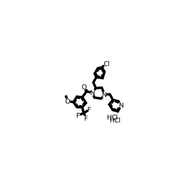 COc1cc(C(=O)N2CCN(Cc3cccnc3)CC2Cc2ccc(Cl)cc2)cc(C(F)(F)F)c1.Cl.Cl